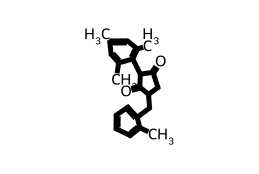 Cc1cc(C)c(C2C(=O)CC(Cc3ccccc3C)C2=O)c(C)c1